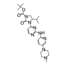 CC(C)C1CN(C(=O)OC(C)(C)C)C(=O)N1c1ccnc(Nc2ccc(N3CCN(C)CC3)cn2)n1